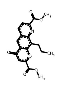 CCCc1c2nc(C(=O)OC)ccc2cc2c(=O)cc(C(=O)ON)oc12